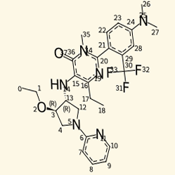 CCO[C@@H]1CN(c2ccccn2)C[C@H]1Nc1c(CC)nc(-c2ccc(N(C)C)cc2C(F)(F)F)n(C)c1=O